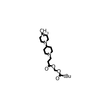 CN1CCN(C2CCN(CCC(=O)OCOC(=O)C(C)(C)C)CC2)CC1